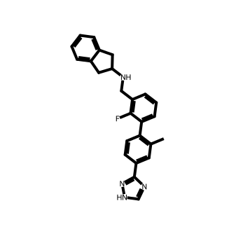 Cc1cc(-c2nc[nH]n2)ccc1-c1cccc(CNC2Cc3ccccc3C2)c1F